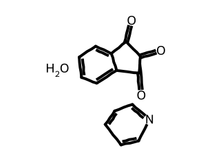 O.O=c1c(=O)c2ccccc2c1=O.c1ccncc1